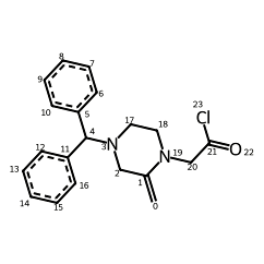 C=C1CN(C(c2ccccc2)c2ccccc2)CCN1CC(=O)Cl